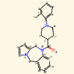 Cc1ccccc1N1CCC(C(=O)N2Cc3cccn3Cc3ccccc32)CC1